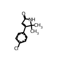 CC1(C)NC(=O)C=C1c1ccc(Cl)cc1